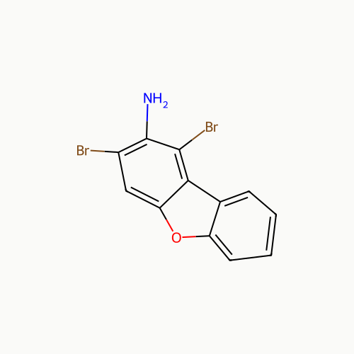 Nc1c(Br)cc2oc3ccccc3c2c1Br